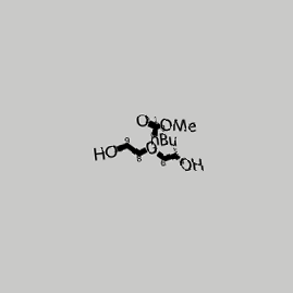 CCCCC(=O)OC.OCCOCCO